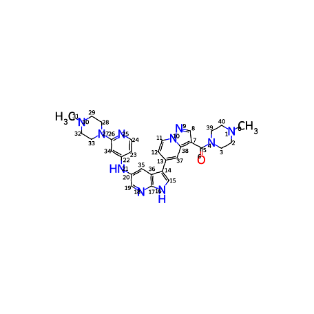 CN1CCN(C(=O)c2cnn3ccc(-c4c[nH]c5ncc(Nc6ccnc(N7CCN(C)CC7)c6)cc45)cc23)CC1